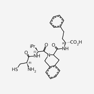 CC(C)[C@H](NC(=O)[C@@H](N)CS)C(=O)N1Cc2ccccc2CC1C(=O)N[C@H](CCc1ccccc1)C(=O)O